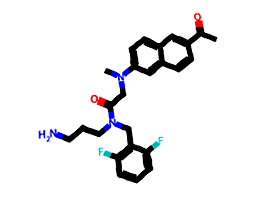 CC(=O)c1ccc2cc(N(C)CC(=O)N(CCCN)Cc3c(F)cccc3F)ccc2c1